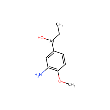 CC[As](O)c1ccc(OC)c(N)c1